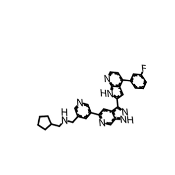 Fc1cccc(-c2ccnc3[nH]c(-c4n[nH]c5cnc(-c6cncc(CNCC7CCCC7)c6)cc45)cc23)c1